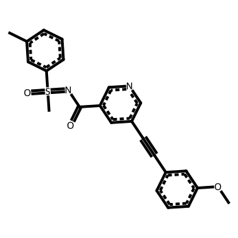 COc1cccc(C#Cc2cncc(C(=O)N=S(C)(=O)c3cccc(C)c3)c2)c1